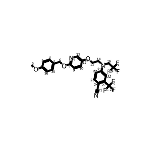 COc1ccc(COc2ccc(OCCN(CC(F)(F)F)c3ccc(C#N)c(C(F)(F)F)c3)cn2)cc1